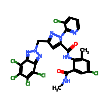 CNC(=O)c1cc(Cl)cc(C)c1NC(=O)c1cc(Cn2nc3c(Cl)c(Cl)c(Cl)c(Cl)c3n2)nn1-c1ncccc1Cl